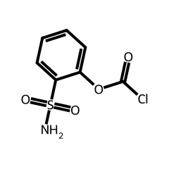 NS(=O)(=O)c1ccccc1OC(=O)Cl